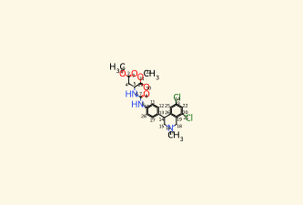 COC(=O)C[C@H](NC(=O)Nc1ccc(C2CN(C)Cc3c(Cl)cc(Cl)cc32)cc1)C(=O)OC